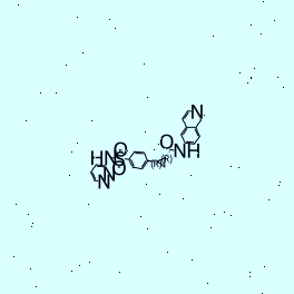 O=C(Nc1ccc2cnccc2c1)[C@@H]1C[C@H]1c1ccc(S(=O)(=O)Nc2cccnn2)cc1